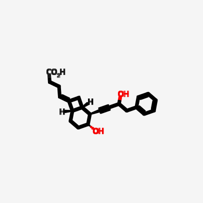 O=C(O)CC/C=C1\C[C@@H]2[C@@H](C#CC(O)Cc3ccccc3)[C@H](O)CC[C@H]12